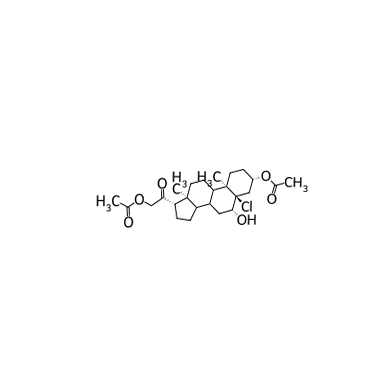 CC(=O)OCC(=O)[C@H]1CCC2C3C[C@@H](O)[C@@]4(Cl)C[C@@H](OC(C)=O)CC[C@]4(C)C3CC[C@@]21C